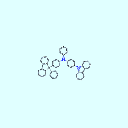 c1ccc(N(c2ccc(-n3c4ccccc4c4ccccc43)cc2)c2ccc(C3(c4ccccc4)c4ccccc4-c4ccccc43)cc2)cc1